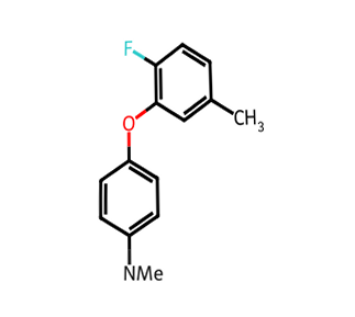 CNc1ccc(Oc2cc(C)ccc2F)cc1